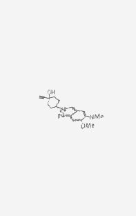 C#CC1(O)CCC(n2cc3cc(NC)c(OC)cc3n2)CC1